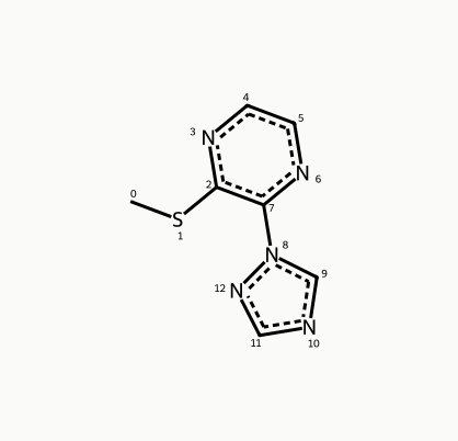 CSc1nccnc1-n1cncn1